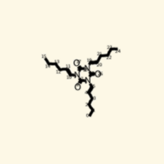 CCCCC=Cn1c(=O)n(C=CCCCC)c(=O)n(C=CCCCC)c1=O